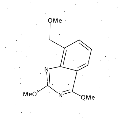 COCc1cccc2c(OC)nc(OC)nc12